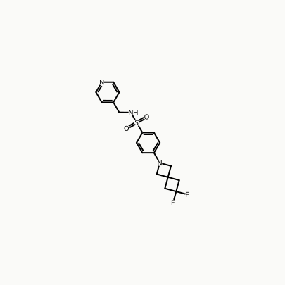 O=S(=O)(NCc1ccncc1)c1ccc(N2CC3(C2)CC(F)(F)C3)cc1